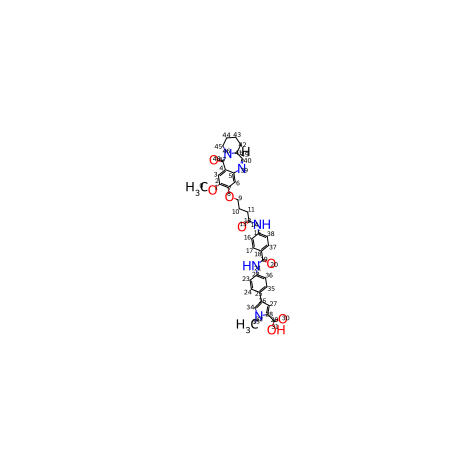 COc1cc2c(cc1OCCCC(=O)Nc1ccc(C(=O)Nc3ccc(-c4cc(C(=O)O)n(C)c4)cc3)cc1)N=C[C@@H]1CCCCN1C2=O